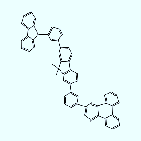 CC1(C)c2cc(-c3cccc(-c4cnc5c6ccccc6c6ccccc6c5n4)c3)ccc2-c2ccc(-c3cccc(-n4c5ccccc5c5ccccc54)c3)cc21